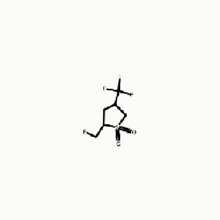 O=S1(=O)CC(C(F)(F)F)CC1CF